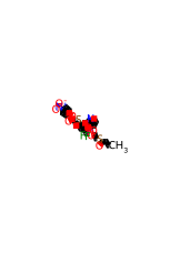 CCCC(=O)SCCOP(=O)(Oc1cccnc1)C(F)(F)c1ccc2sc(C(=O)Oc3ccc([N+](=O)[O-])cc3)cc2c1